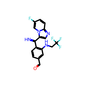 N=C(c1ccc(C=O)cc1NCC(F)(F)F)c1cnc2ccc(F)cn12